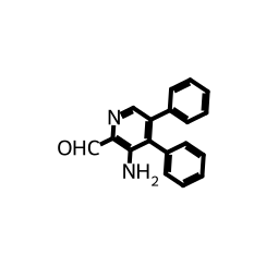 Nc1c(C=O)ncc(-c2ccccc2)c1-c1ccccc1